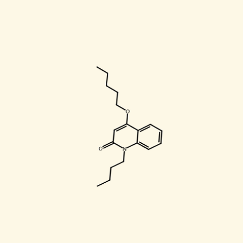 CCCCCOc1cc(=O)n(CCCC)c2ccccc12